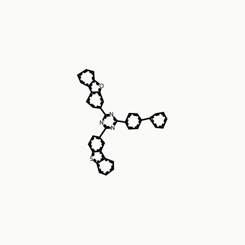 c1ccc(-c2ccc(-c3nc(-c4ccc5c(c4)oc4ccccc45)nc(-c4ccc5sc6ccccc6c5c4)n3)cc2)cc1